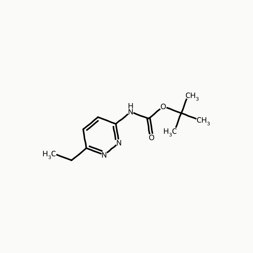 CCc1ccc(NC(=O)OC(C)(C)C)nn1